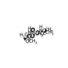 CC(=O)N1c2ccc(N3CCC(NC(=O)OC(C)(C)C)CC3)nc2C(Nc2ccccc2)[C@@H](C)[C@@H]1C1CC1